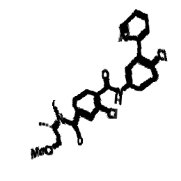 COC[C@H](C)N(I)C(=O)c1ccc(C(=O)Nc2ccc(Cl)c(-c3ccccn3)c2)c(Cl)c1